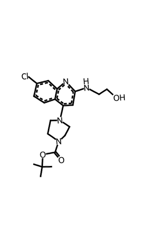 CC(C)(C)OC(=O)N1CCN(c2cc(NCCO)nc3cc(Cl)ccc23)CC1